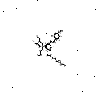 CCC[CH2][Sn]([CH2]CCC)([CH2]CCC)[c]1cc(C=Cc2ccc(O)cc2)cnc1OCCOCCOCCF